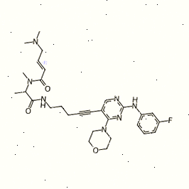 CC(C(=O)NCCCC#Cc1cnc(Nc2cccc(F)c2)nc1N1CCOCC1)N(C)C(=O)/C=C/CN(C)C